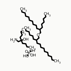 CCCCC(O)(CN)CCCC.CCCCCCCCCCC(CCCCCC)COCC(CCCCCC)CCCCCCCCCC.O=P(O)(O)O